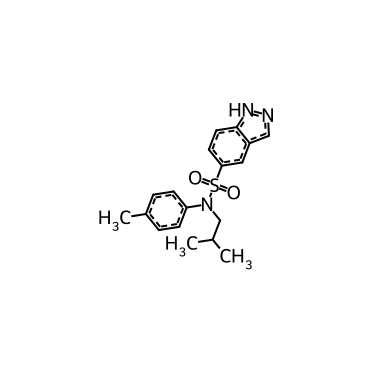 Cc1ccc(N(CC(C)C)S(=O)(=O)c2ccc3[nH]ncc3c2)cc1